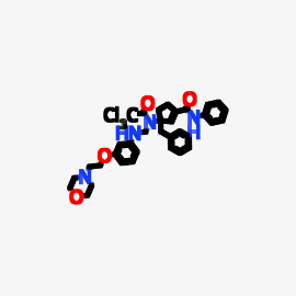 O=C(Nc1ccccc1)C1=CC(Cc2ccccc2)(N(CNc2cccc(OCCN3CCOCC3)c2)C(=O)C(Cl)(Cl)Cl)CC1